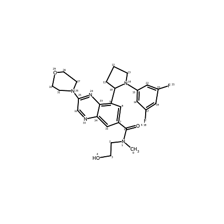 CN(CCO)C(=O)c1cc(C2CCCN2c2cc(F)cc(F)c2)c2nc(N3CCOCC3)cnc2c1